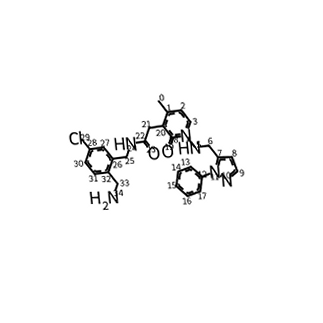 Cc1ccn(NCc2ccnn2-c2ccccc2)c(=O)c1CC(=O)NCc1cc(Cl)ccc1CN